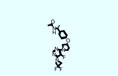 CC(=O)N[C@@H](C)c1ccc(O[C@@H]2CCN(c3ncnc(N4CC(F)(F)C4)c3F)C2)cc1